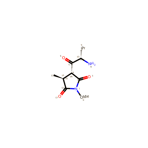 CON1C(=O)[C@@H](C(=O)[C@@H](N)C(C)C)[C@H](C)C1=O